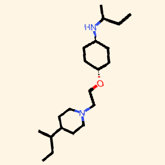 CCC(C)N[C@H]1CC[C@H](OCCN2CCC(C(C)CC)CC2)CC1